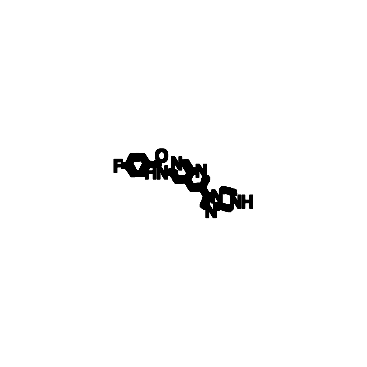 O=C(Nc1cc2cc(-c3cnc4n3CCNC4)cnc2cn1)c1ccc(F)cc1